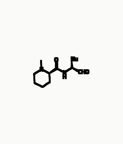 CC[C@H](C)[C@@H](C=O)NC(=O)[C@H]1CCCCN1C